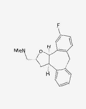 CNC[C@H]1C[C@@H]2c3ccccc3Cc3ccc(F)cc3[C@@H]2O1